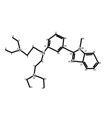 CCN(CC)CCN(CCN(CC)CC)c1cccc(-c2nc3ccccc3n2C)c1